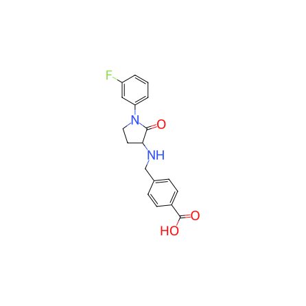 O=C(O)c1ccc(CNC2CCN(c3cccc(F)c3)C2=O)cc1